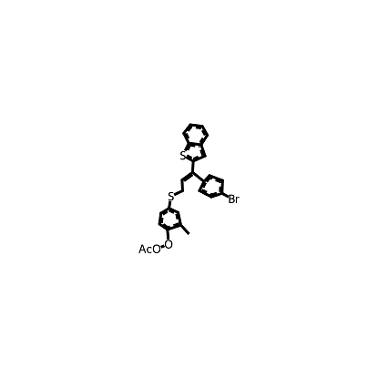 CC(=O)OOc1ccc(SCC=C(c2ccc(Br)cc2)c2cc3ccccc3s2)cc1C